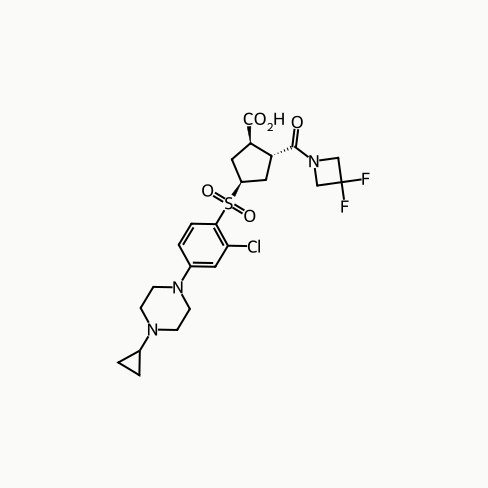 O=C(O)[C@@H]1C[C@H](S(=O)(=O)c2ccc(N3CCN(C4CC4)CC3)cc2Cl)C[C@H]1C(=O)N1CC(F)(F)C1